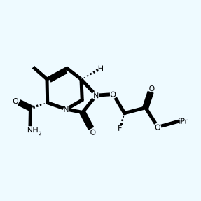 CC1=C[C@@H]2CN(C(=O)N2O[C@@H](F)C(=O)OC(C)C)[C@@H]1C(N)=O